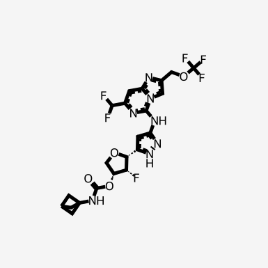 O=C(NC12CC(C1)C2)O[C@@H]1CO[C@H](c2cc(Nc3nc(C(F)F)cc4nc(COC(F)(F)F)cn34)n[nH]2)[C@@H]1F